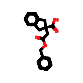 O=C(CC1(C(=O)O)Cc2ccccc2C1)OCc1ccccc1